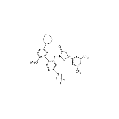 COc1ccc(C2CCCCC2)cc1-c1cnc(N2CC(F)(F)C2)nc1CN1C(=O)O[C@H](c2cc(C(F)(F)F)cc(C(F)(F)F)c2)[C@@H]1C